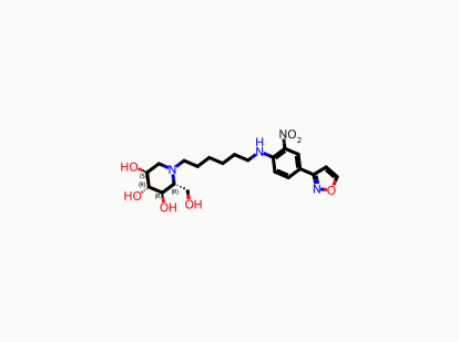 O=[N+]([O-])c1cc(-c2ccon2)ccc1NCCCCCCN1C[C@H](O)[C@@H](O)[C@H](O)[C@H]1CO